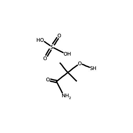 CC(C)(OS)C(N)=O.O=S(=O)(O)O